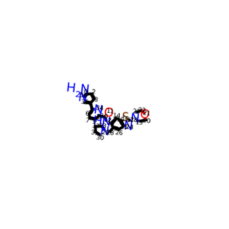 Nc1ccc(-c2cccc(C(=O)Nc3cc4sc(N5CCOCC5)nc4cc3CN3CCCC3)n2)cn1